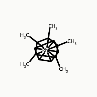 C[C]12[C]3(C)[C]4(C)[C]5(C)[C]1(C)[Rh]23451678[CH]2[CH]1[CH]6[CH]7[CH]28